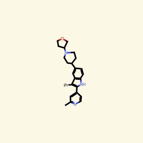 Cc1cc(-c2[nH]c3ccc(C4CCN(C5CCOC5)CC4)cc3c2C(C)C)ccn1